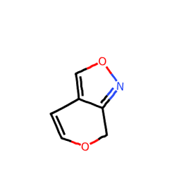 C1=Cc2conc2CO1